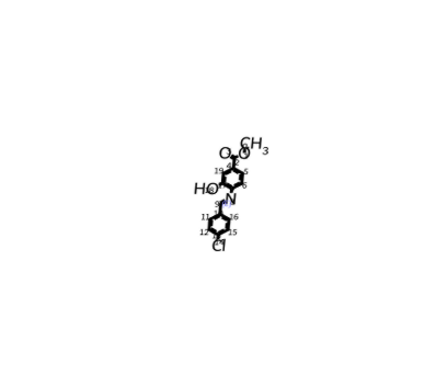 COC(=O)c1ccc(/N=C/c2ccc(Cl)cc2)c(O)c1